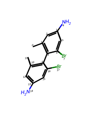 Cc1cc(N)cc(Br)c1-c1c(C)cc(N)cc1Br